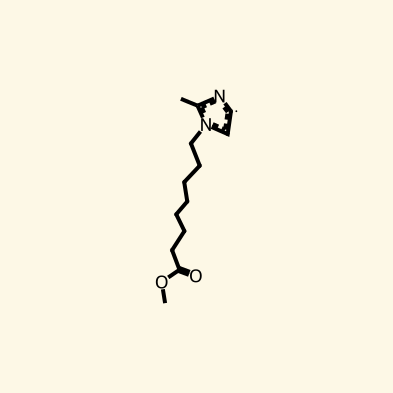 COC(=O)CCCCCCCn1c[c]nc1C